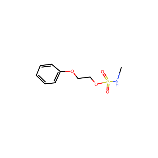 CNS(=O)(=O)OCCOc1ccccc1